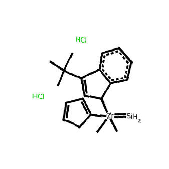 CC(C)(C)C1=C[CH]([Zr]([CH3])([CH3])(=[SiH2])[C]2=CC=CC2)c2ccccc21.Cl.Cl